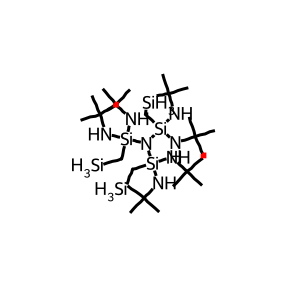 CC(C)(C)N[Si](C[SiH3])(NC(C)(C)C)N([Si](C[SiH3])(NC(C)(C)C)NC(C)(C)C)[Si](C[SiH3])(NC(C)(C)C)NC(C)(C)C